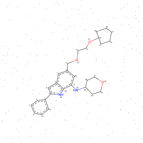 c1ccc(-c2cc3cc(COCCOC4CCCCC4)cc(NC4CCOCC4)c3[nH]2)cc1